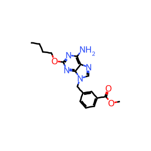 CCCCOc1nc(N)c2ncn(Cc3cccc(C(=O)OC)c3)c2n1